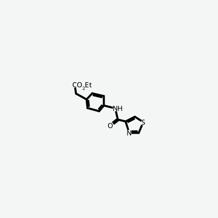 CCOC(=O)Cc1ccc(NC(=O)c2cscn2)cc1